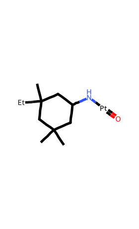 CCC1(C)CC([NH][Pt]=[O])CC(C)(C)C1